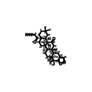 CC1(C)CC[C@]2(C(=O)C=[N+]=[N-])CC[C@]3(C)[C@H](C(=O)C[C@@H]4[C@@]5(C)Cc6cnoc6C(C)(C)[C@@H]5CC[C@]43C)[C@@H]2C1